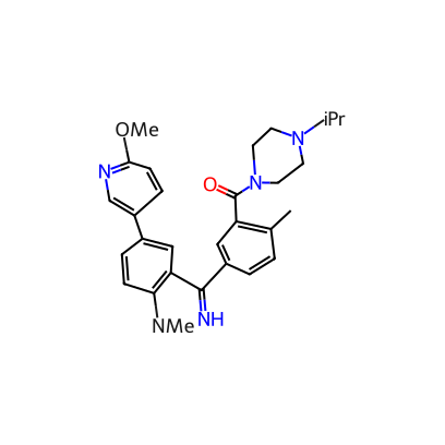 CNc1ccc(-c2ccc(OC)nc2)cc1C(=N)c1ccc(C)c(C(=O)N2CCN(C(C)C)CC2)c1